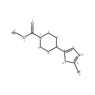 CC(C)(C)OC(=O)N1CCC(c2cnc(Br)s2)CC1